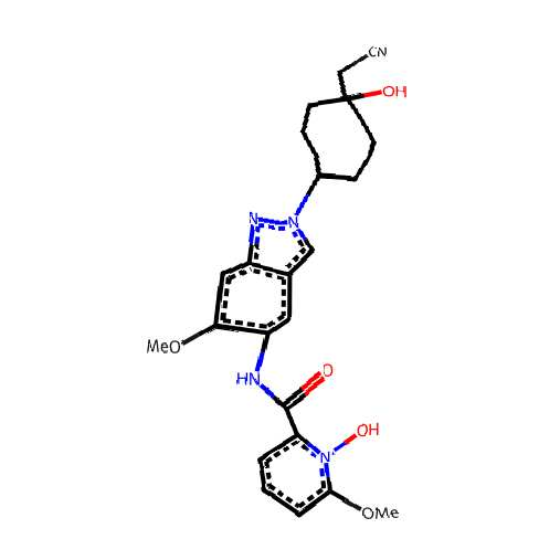 COc1cc2nn(C3CCC(O)(CC#N)CC3)cc2cc1NC(=O)c1cccc(OC)[n+]1O